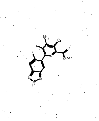 COC(=O)c1nc(-c2cc3n[nH]nc3cc2F)c(F)c(N)c1Cl